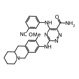 COc1cc2c(cc1Nc1nnc(C(N)=O)c(Nc3cccc(C#N)c3)n1)CN1CCCCC1C2